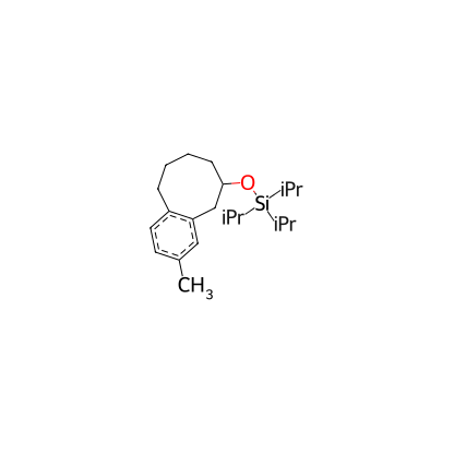 Cc1ccc2c(c1)CC(O[Si](C(C)C)(C(C)C)C(C)C)CCCC2